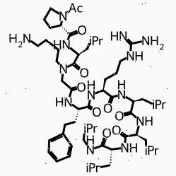 CC(=O)N1CCC[C@H]1C(=O)N[C@@H](CC(C)C)C(=O)N(CCCCN)CC(=O)N[C@@H](CCc1ccccc1)C(=O)N[C@@H](CCCNC(=N)N)C(=O)N[C@@H](CC(C)C)C(=O)N[C@@H](CC(C)C)C(=O)N[C@H](CC(C)C)C(=O)NCC(C)C